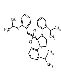 CC(C)Oc1ccccc1[CH]=[Ru]([Cl])([Cl])=[C]1N(c2ccccc2C(C)C)CCN1c1ccccc1C(C)C